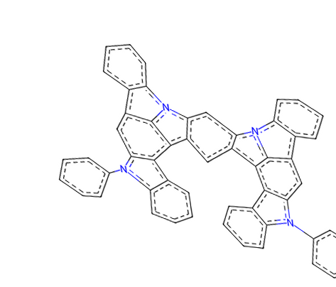 c1ccc(-n2c3ccccc3c3c4c5cc6c7c8c9ccccc9n(-c9ccccc9)c8cc8c9ccccc9n(c6cc5n5c6ccccc6c(cc32)c45)c87)cc1